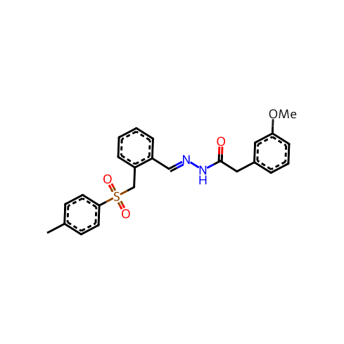 COc1cccc(CC(=O)N/N=C/c2ccccc2CS(=O)(=O)c2ccc(C)cc2)c1